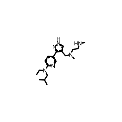 CCN(CC(C)C)c1ccc(-c2n[nH]cc2CN(C)CCNC)cn1